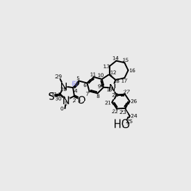 CN1C(=O)/C(=C\c2ccc3c(c2)C2CCCCCC2N3c2ccc(CO)cc2)N(C)C1=S